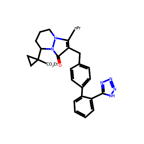 CCCc1c(Cc2ccc(-c3ccccc3-c3nnn[nH]3)cc2)c(=O)n2n1CCCC2C1(C(=O)OCC)CC1